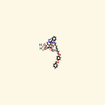 CC[C@H]1CN2CC[C@]3(C(=O)N(CCCCCCCCOc4ccc(OCc5ccccc5)cc4)c4ccccc43)C2C[C@@H]1/C(=C\OC)C(=O)OC